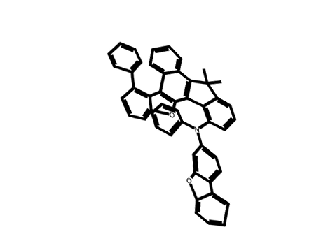 CC1(C)c2cccc(N(c3ccccc3)c3ccc4c(c3)oc3ccccc34)c2-c2c1c1ccccc1c1c2oc2cccc(-c3ccccc3)c21